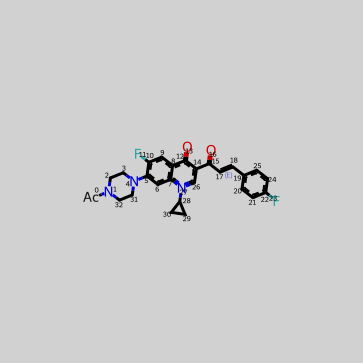 CC(=O)N1CCN(c2cc3c(cc2F)c(=O)c(C(=O)/C=C/c2ccc(F)cc2)cn3C2CC2)CC1